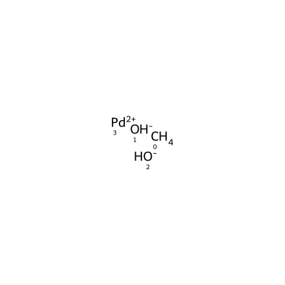 C.[OH-].[OH-].[Pd+2]